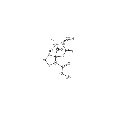 C[C@@H](O)[C@@H](C(=O)O)N(C)CC1(C=O)CCCN1C(=O)OC(C)(C)C